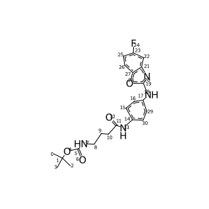 CC(C)(C)OC(=O)NCCCC(=O)Nc1ccc(Nc2nc3cc(F)ccc3o2)cc1